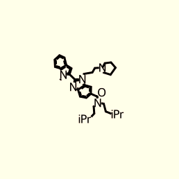 CC(C)CCN(CCC(C)C)C(=O)c1ccc2nc(-c3cc4ccccc4n3C)n(CCCN3CCCCC3)c2c1